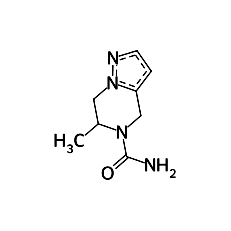 CC1Cn2nccc2CN1C(N)=O